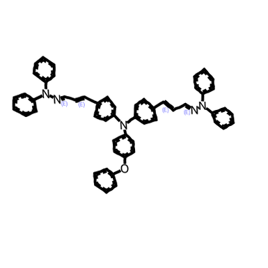 C(=C\c1ccc(N(c2ccc(/C=C/C=N/N(c3ccccc3)c3ccccc3)cc2)c2ccc(Oc3ccccc3)cc2)cc1)/C=N/N(c1ccccc1)c1ccccc1